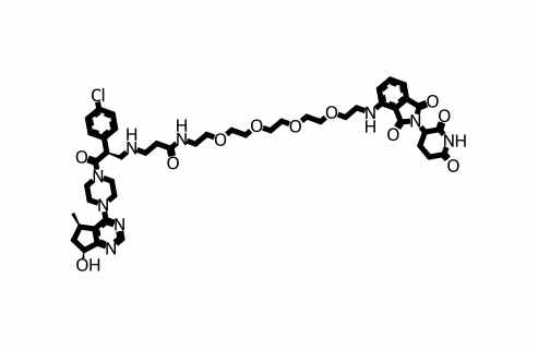 C[C@@H]1C[C@@H](O)c2ncnc(N3CCN(C(=O)[C@H](CNCCC(=O)NCCOCCOCCOCCOCCNc4cccc5c4C(=O)N(C4CCC(=O)NC4=O)C5=O)c4ccc(Cl)cc4)CC3)c21